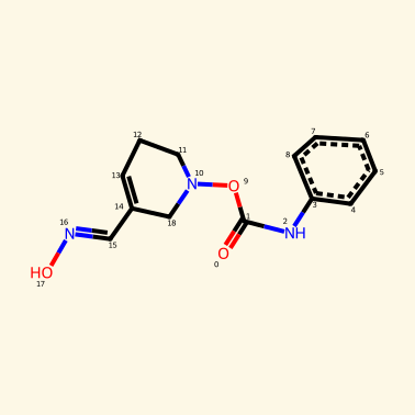 O=C(Nc1ccccc1)ON1CCC=C(C=NO)C1